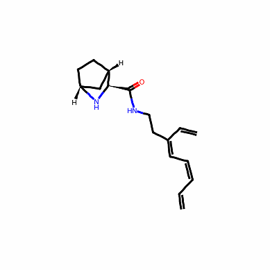 C=C/C=C\C=C(/C=C)CCNC(=O)[C@H]1N[C@@H]2CC[C@H]1C2